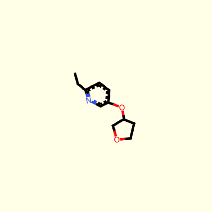 CCc1ccc(OC2CCOC2)cn1